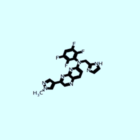 Cn1cc(-c2cnc3ccc(N(Cc4ncc[nH]4)c4c(F)c(F)cc(F)c4F)nc3n2)cn1